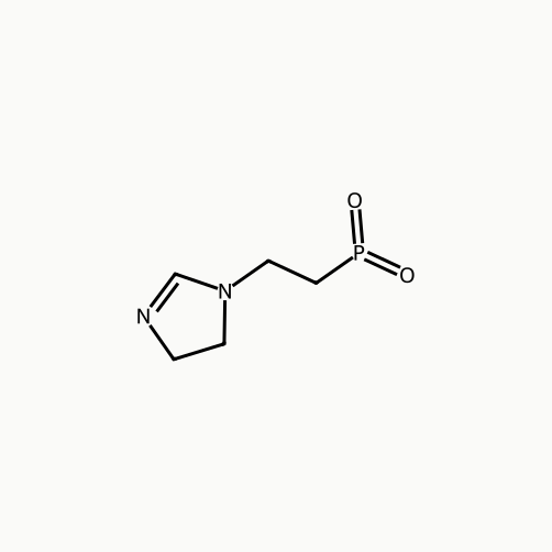 O=P(=O)CCN1C=NCC1